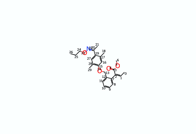 CC=C(C(=O)OC)c1ccccc1COc1cc(C)c(/C(C)=N\OCCC)cc1C